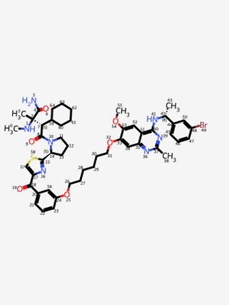 CNC(C)(C(N)=O)[C@@H](C(=O)N1CCC[C@H]1c1nc(C(=O)c2cccc(OCCCCCCOc3cc4nc(C)nc(N[C@H](C)c5cccc(Br)c5)c4cc3OC)c2)cs1)C1CCCCC1